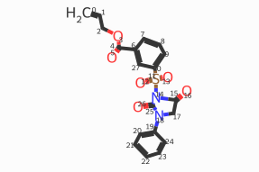 C=CCOC(=O)c1cccc(S(=O)(=O)N2C(=O)CN(c3ccccc3)C2=O)c1